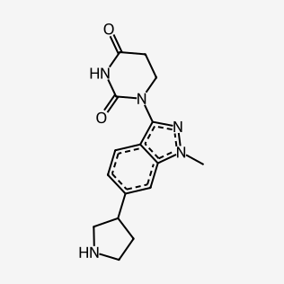 Cn1nc(N2CCC(=O)NC2=O)c2ccc(C3CCNC3)cc21